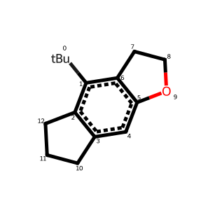 CC(C)(C)c1c2c(cc3c1CCO3)CCC2